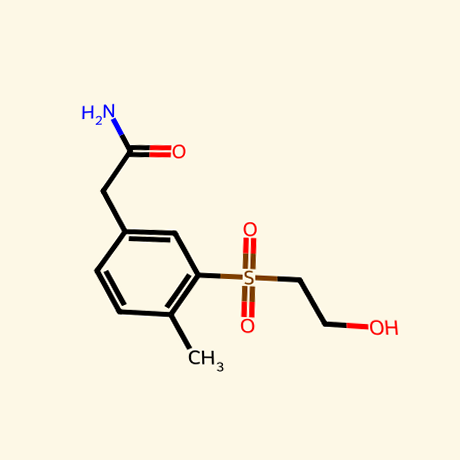 Cc1ccc(CC(N)=O)cc1S(=O)(=O)CCO